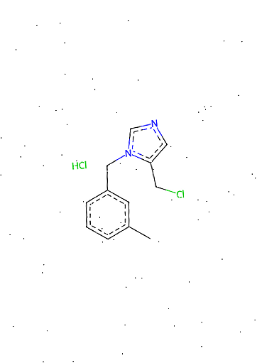 Cc1cccc(Cn2cncc2CCl)c1.Cl